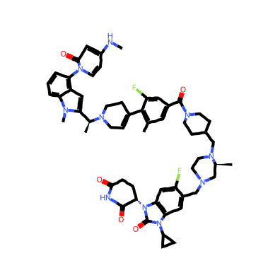 CNc1ccn(-c2cccc3c2cc([C@H](C)N2CC=C(c4c(C)cc(C(=O)N5CCC(CN6CCN(Cc7cc8c(cc7F)n([C@H]7CCC(=O)NC7=O)c(=O)n8C7CC7)C[C@@H]6C)CC5)cc4F)CC2)n3C)c(=O)c1